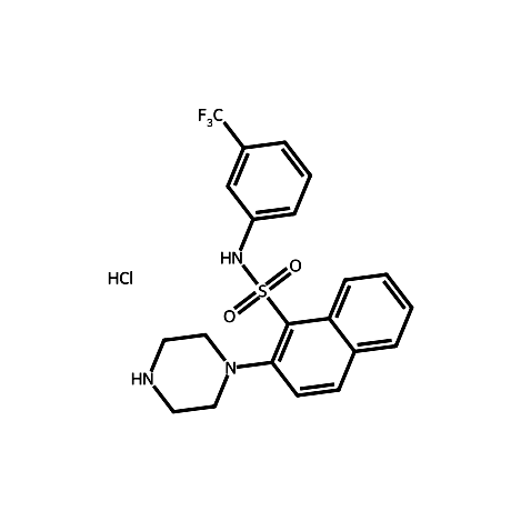 Cl.O=S(=O)(Nc1cccc(C(F)(F)F)c1)c1c(N2CCNCC2)ccc2ccccc12